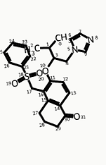 CC(C)C(Cn1ccnc1)Oc1ccc2c(c1CS(=O)(=O)c1ccccc1)CCCC2=O